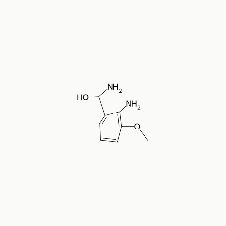 COc1cccc(C(N)O)c1N